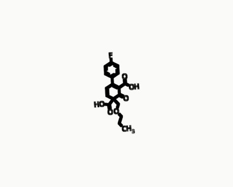 CCCOCC1(C(=O)O)C=CC(c2ccc(F)cc2)=C(C(=O)O)C1=O